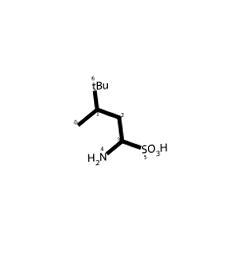 CC(CC(N)S(=O)(=O)O)C(C)(C)C